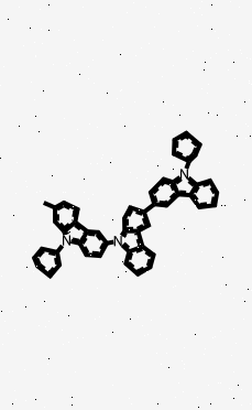 Cc1ccc2c3cc(-n4c5ccccc5c5cc(-c6ccc7c(c6)c6ccccc6n7-c6ccccc6)ccc54)ccc3n(-c3ccccc3)c2c1